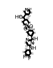 O=S(=O)(c1ccc(Nc2nccc(Nc3ccc(F)c(F)c3)n2)cc1)N1CCC(C(O)c2cccnc2)CC1